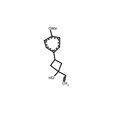 C=CC1(O)CC(c2ccc(OC)cc2)C1